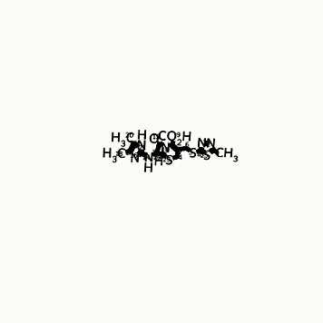 Cc1nnc(SCC2=C(C(=O)O)N3C(=O)C(Nc4nc(C)c(C)[nH]4)[C@@H]3SC2)s1